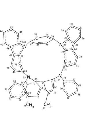 CC1=CC[C@@]2(C=C1)C1CC(C)=CC=C1N(c1ccccc1)c1ccc3c4ccccc4n(c3c1)C1=CCC(C=C1)n1c3ccccc3c3ccc(cc31)N2c1ccccc1